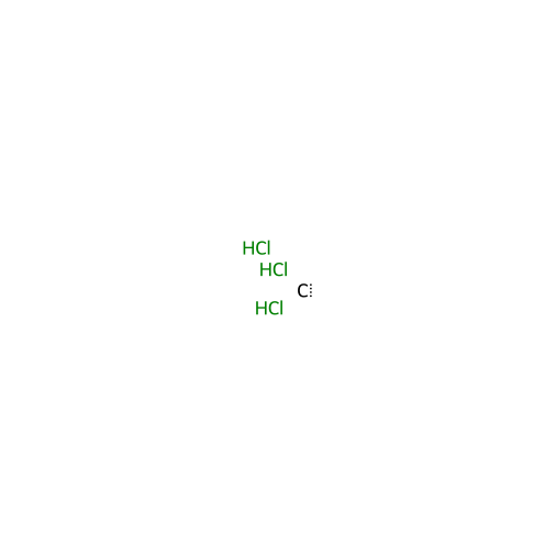 Cl.Cl.Cl.[C]